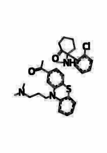 CC(=O)c1ccc2c(c1)N(CCCN(C)C)c1ccccc1S2.CNC1(c2ccccc2Cl)CCCCC1=O